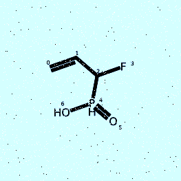 C=CC(F)[PH](=O)O